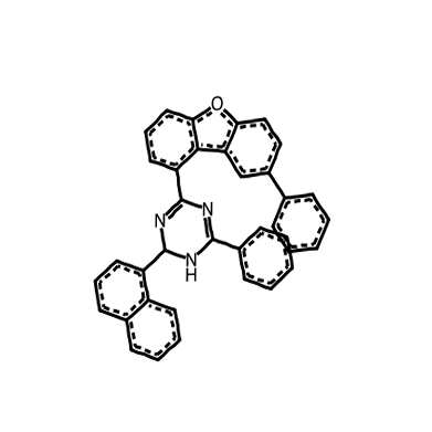 c1ccc(C2=NC(c3cccc4oc5ccc(-c6ccccc6)cc5c34)=NC(c3cccc4ccccc34)N2)cc1